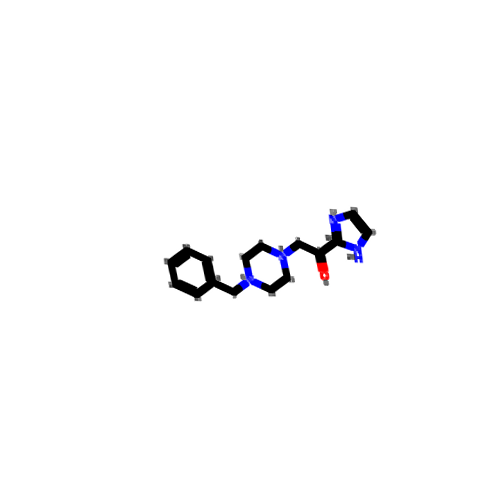 O=C(CN1CCN(Cc2ccccc2)CC1)c1ncc[nH]1